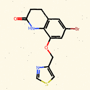 O=C1CCc2cc(Br)cc(OCc3cscn3)c2N1